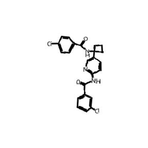 O=C(Nc1ccc(C2(NC(=O)c3ccc(Cl)cc3)CCC2)cn1)c1cccc(Cl)c1